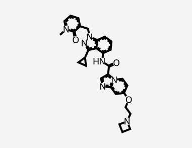 Cn1cccc(Cn2nc(C3CC3)c3c(NC(=O)c4cnc5cc(OCCN6CCC6)ccn45)cccc32)c1=O